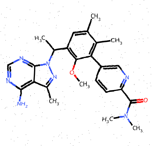 COc1c(C(C)n2nc(C)c3c(N)ncnc32)cc(C)c(C)c1-c1ccc(C(=O)N(C)C)nc1